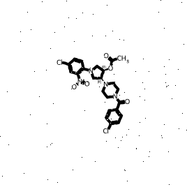 CC(=O)O[C@@H]1CN(c2ccc(Cl)cc2[N+](=O)[O-])C[C@H]1N1CCN(C(=O)c2ccc(Cl)cc2)CC1